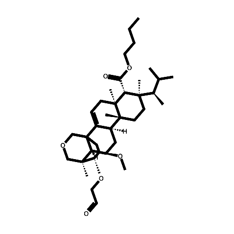 CCCCOC(=O)[C@@H]1[C@@](C)([C@H](C)C(C)C)CC[C@]2(C)[C@H]3CC[C@@H]4C5(COC[C@]4(C)[C@@H](OCC=O)[C@H](OC)C5)C3=CC[C@@]12C